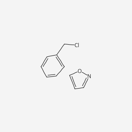 ClCc1ccccc1.c1cnoc1